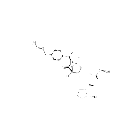 C[C@H](c1ccc(SOON)cc1)N1C(=O)[C@@H]2C[C@H]1CN2C[C@H](NC(=O)OC(C)(C)C)C(=O)N1CCC[C@H]1C#N